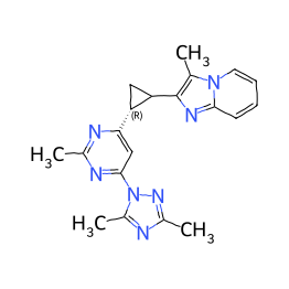 Cc1nc([C@@H]2CC2c2nc3ccccn3c2C)cc(-n2nc(C)nc2C)n1